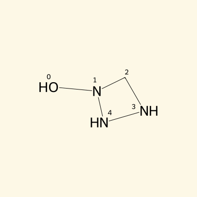 ON1CNN1